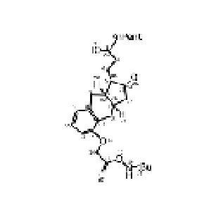 CCCCC[C@H](O)CC[C@@H]1[C@H]2Cc3cccc(OCC(=O)ONC(C)(C)C)c3C[C@H]2C[C@H]1O